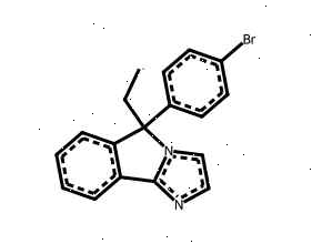 [CH2]CC1(c2ccc(Br)cc2)c2ccccc2-c2nccn21